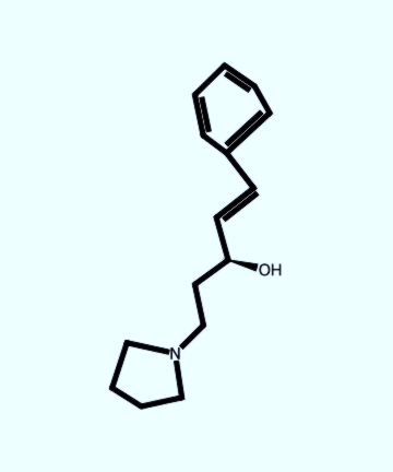 O[C@H](/C=C/c1ccccc1)CCN1CCCC1